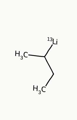 [13Li][CH](C)CC